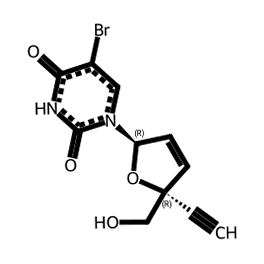 C#C[C@@]1(CO)C=C[C@H](n2cc(Br)c(=O)[nH]c2=O)O1